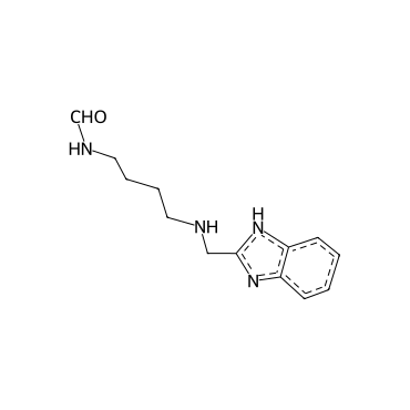 O=CNCCCCNCc1nc2ccccc2[nH]1